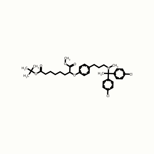 COC(=O)C(CCCCCC(=O)OC(C)(C)C)Oc1ccc(CCCN(C)C(C)(c2ccc(Cl)cc2)c2ccc(Cl)cc2)cc1